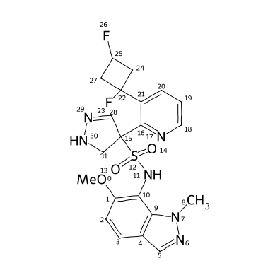 COc1ccc2cnn(C)c2c1NS(=O)(=O)C1(c2ncccc2C2(F)CC(F)C2)C=NNC1